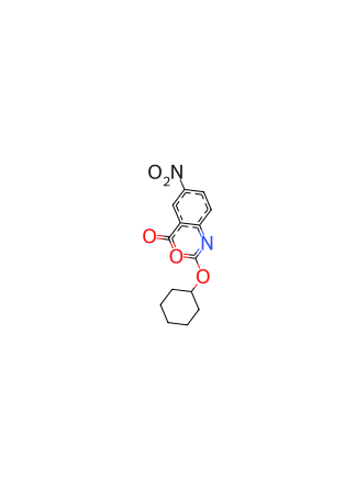 O=c1oc(OC2CCCCC2)nc2ccc([N+](=O)[O-])cc12